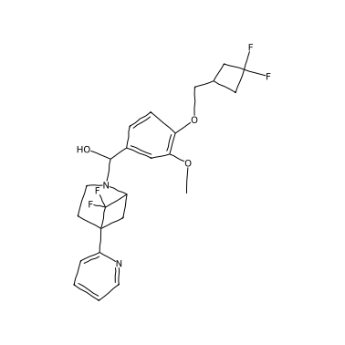 COc1cc(C(O)N2CCC3(c4ccccn4)CC2C3(F)F)ccc1OCC1CC(F)(F)C1